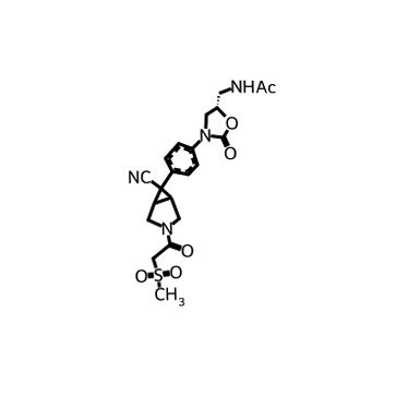 CC(=O)NC[C@H]1CN(c2ccc(C3(C#N)C4CN(C(=O)CS(C)(=O)=O)CC43)cc2)C(=O)O1